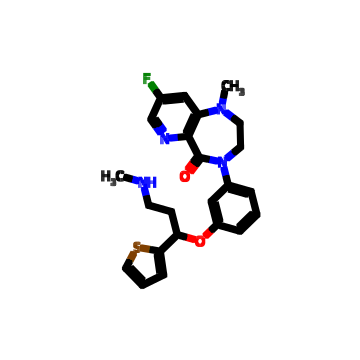 CNCCC(Oc1cccc(N2CCN(C)c3cc(F)cnc3C2=O)c1)c1cccs1